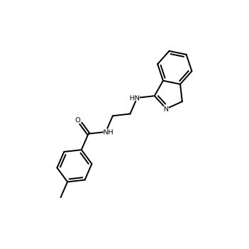 Cc1ccc(C(=O)NCCNC2=NCc3ccccc32)cc1